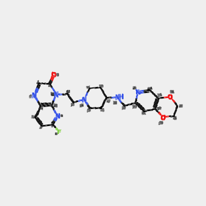 O=c1cnc2ccc(F)nc2n1CCN1CCC(NCc2cc3c(cn2)OCCO3)CC1